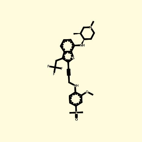 COc1cc(P(C)(C)=O)ccc1NCC#Cc1sc2c(N[C@@H]3CCN(C)C[C@@H]3C)cccc2c1CC(F)(F)F